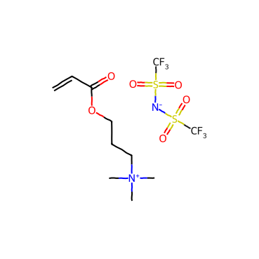 C=CC(=O)OCCC[N+](C)(C)C.O=S(=O)([N-]S(=O)(=O)C(F)(F)F)C(F)(F)F